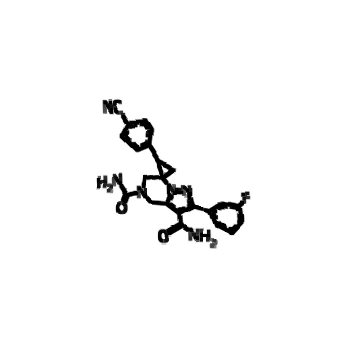 N#Cc1ccc(C2CC23CN(C(N)=O)Cc2c(C(N)=O)c(-c4cccc(F)c4)nn23)cc1